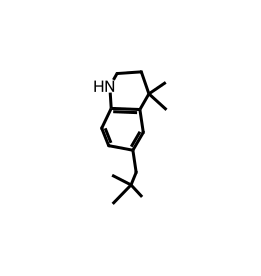 CC(C)(C)Cc1ccc2c(c1)C(C)(C)CCN2